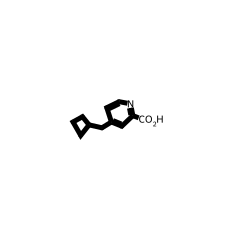 O=C(O)c1cc(CC2CCC2)ccn1